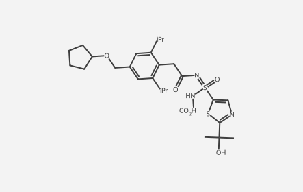 CC(C)c1cc(COC2CCCC2)cc(C(C)C)c1CC(=O)N=S(=O)(NC(=O)O)c1cnc(C(C)(C)O)s1